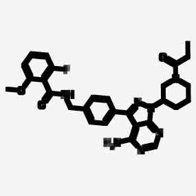 CCC(=O)N1CCCC(n2nc(-c3ccc(CNC(=O)c4c(F)cccc4OC)cc3)c3c(N)ncnc32)C1